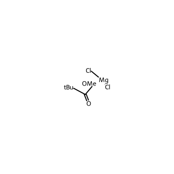 [CH2]OC(=O)C(C)(C)C.[Cl][Mg][Cl]